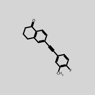 Cc1cc(C#Cc2ccc3c(c2)CCCC3=O)ccc1F